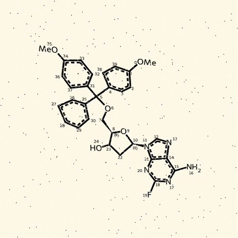 COc1ccc(C(OC[C@H]2O[C@@H](n3cnc4c(N)nc(F)nc43)CC2O)(c2ccccc2)c2ccc(OC)cc2)cc1